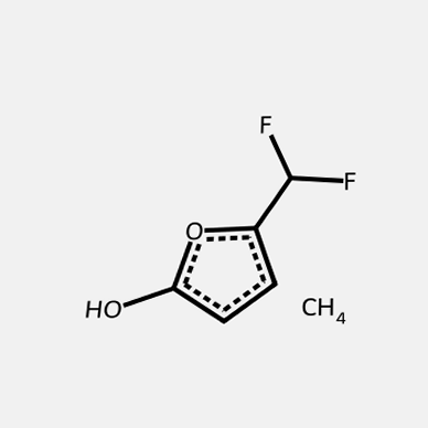 C.Oc1ccc(C(F)F)o1